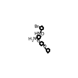 Nc1cc(NC(=O)c2cccc(Br)c2)ccc1Oc1ccc(OCc2ccccc2)cc1